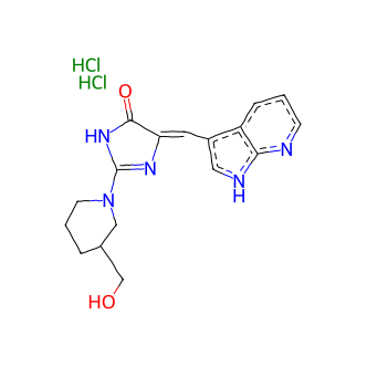 Cl.Cl.O=C1NC(N2CCCC(CO)C2)=N/C1=C\c1c[nH]c2ncccc12